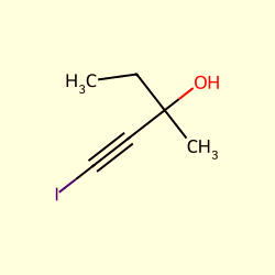 CCC(C)(O)C#CI